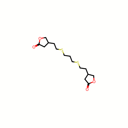 O=C1CC(CCSCCCSCCC2COC(=O)C2)CO1